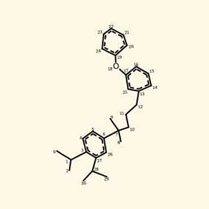 CC(C)c1ccc(C(C)(C)CCCc2cccc(Oc3ccccc3)c2)cc1C(C)C